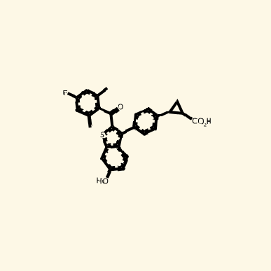 Cc1cc(F)cc(C)c1C(=O)c1sc2cc(O)ccc2c1-c1ccc(C2CC2C(=O)O)cc1